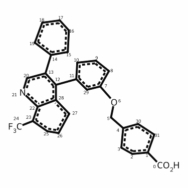 O=C(O)c1ccc(COc2cccc(-c3c(-c4ccccc4)cnc4c(C(F)(F)F)cccc34)c2)cc1